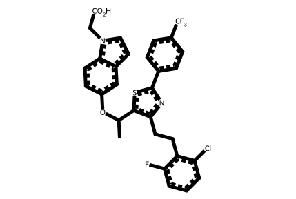 CC(Oc1ccc2c(ccn2CC(=O)O)c1)c1sc(-c2ccc(C(F)(F)F)cc2)nc1CCc1c(F)cccc1Cl